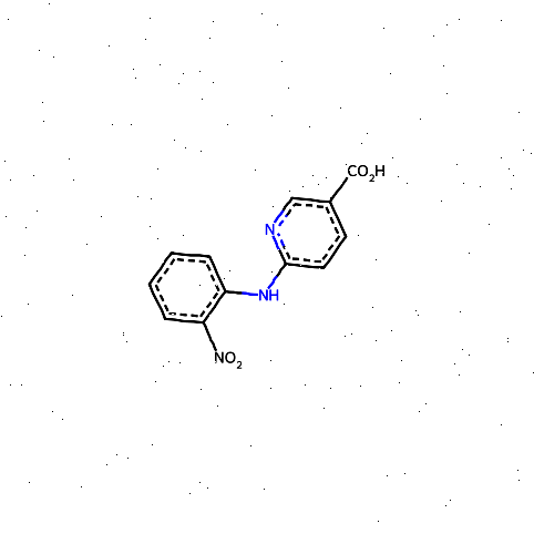 O=C(O)c1ccc(Nc2ccccc2[N+](=O)[O-])nc1